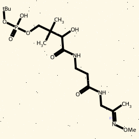 CO/N=C(\C)CNC(=O)CCNC(=O)C(O)C(C)(C)COP(=O)(O)OC(C)(C)C